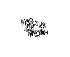 COc1cccc(F)c1C(O)N1CCC[C@@H](c2cn(-c3ccc4[nH]nc(-c5ccncc5)c4c3)nn2)C1